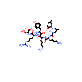 CC(=O)[C@H](CC(C)C)NN[C@@H](CC(C)C)C(=O)N[C@@H](CCCCN)C(=O)N[C@@H](CCCCN)C(=O)C(=O)[C@H](Cc1ccc(O)cc1)NN[C@@H](CCCNC(N)N)C(=O)N[C@@H](CO)C(=O)O